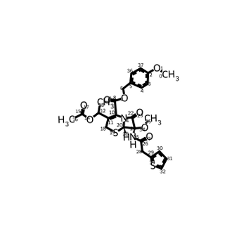 COc1ccc(COC(=O)C2=C(C(C)OC(C)=O)CS[C@@H]3N2C(=O)[C@]3(NC(=O)Cc2cccs2)OC)cc1